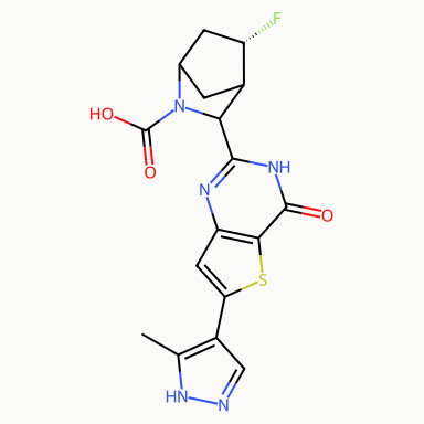 Cc1[nH]ncc1-c1cc2nc(C3C4CC(C[C@@H]4F)N3C(=O)O)[nH]c(=O)c2s1